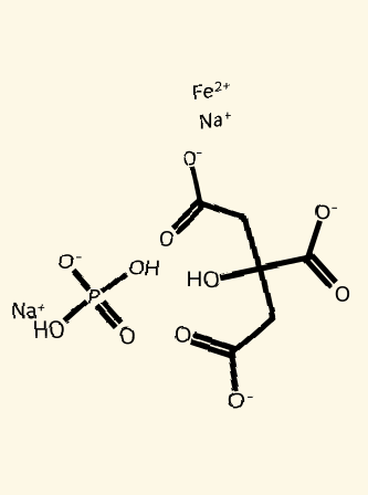 O=C([O-])CC(O)(CC(=O)[O-])C(=O)[O-].O=P([O-])(O)O.[Fe+2].[Na+].[Na+]